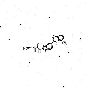 C#CCNC(=O)Nc1nc2ccc(C(=O)Nc3c(C)cccc3Cl)cc2s1